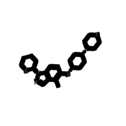 Cc1c(O[C@H]2CC[C@@H](N3CCOCC3)CC2)ccc2c1cnn2C1CCCCO1